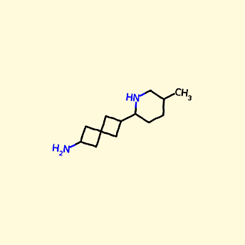 CC1CCC(C2CC3(CC(N)C3)C2)NC1